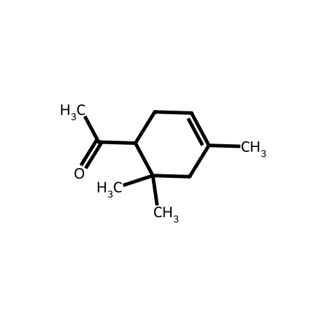 CC(=O)C1CC=C(C)CC1(C)C